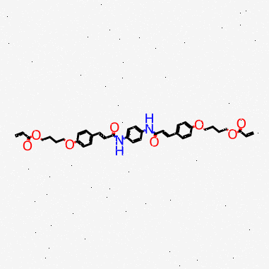 C=CC(=O)OCCCCOc1ccc(/C=C/C(=O)Nc2ccc(NC(=O)/C=C/c3ccc(OCCCCOC(=O)C=C)cc3)cc2)cc1